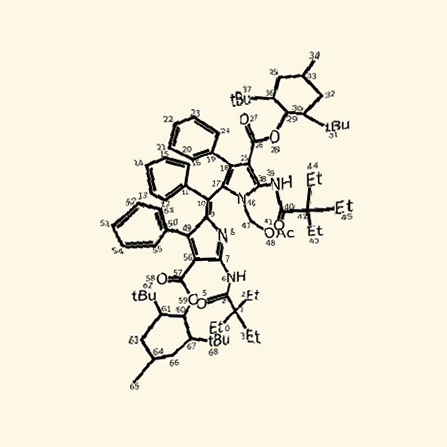 CCC(CC)(CC)C(=O)NC1=N/C(=C(/c2ccccc2)c2c(-c3ccccc3)c(C(=O)OC3C(C(C)(C)C)CC(C)CC3C(C)(C)C)c(NC(=O)C(CC)(CC)CC)n2COC(C)=O)C(c2ccccc2)=C1C(=O)OC1C(C(C)(C)C)CC(C)CC1C(C)(C)C